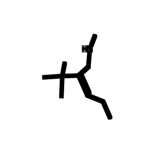 CC/C=C(\CNC)C(C)(C)C